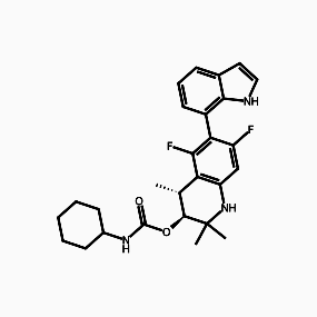 C[C@@H]1c2c(cc(F)c(-c3cccc4cc[nH]c34)c2F)NC(C)(C)[C@H]1OC(=O)NC1CCCCC1